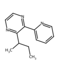 CCC(C)c1nccnc1-c1ccccn1